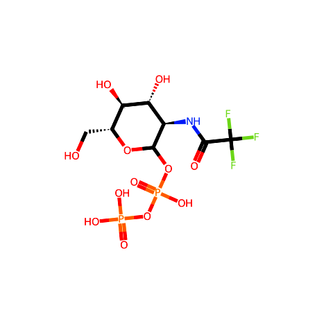 O=C(N[C@H]1C(OP(=O)(O)OP(=O)(O)O)O[C@H](CO)[C@@H](O)[C@@H]1O)C(F)(F)F